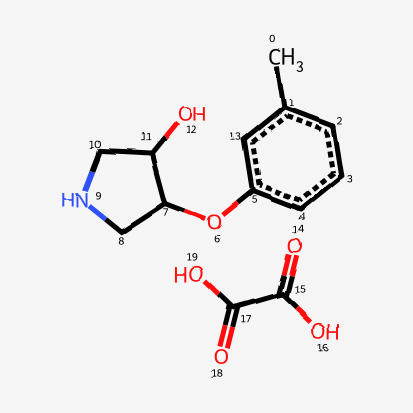 Cc1cccc(OC2CNCC2O)c1.O=C(O)C(=O)O